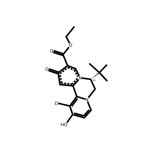 CCOC(=O)c1cn2c(cc1=O)C1=C(Cl)C(O)=C=CN1C[C@H]2C(C)(C)C